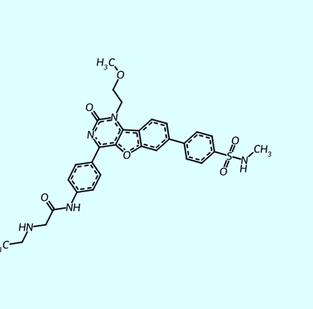 CCNCC(=O)Nc1ccc(-c2nc(=O)n(CCOC)c3c2oc2cc(-c4ccc(S(=O)(=O)NC)cc4)ccc23)cc1